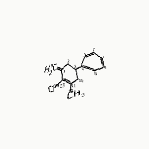 C=C1CC(c2ccccc2)CC(C)=C1Cl